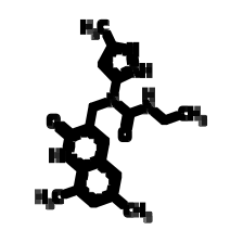 CCNC(=O)N(Cc1cc2cc(C)cc(C)c2[nH]c1=O)c1cc(C)n[nH]1